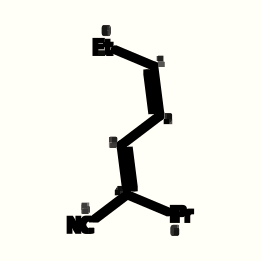 CC/C=C\C=C(\C#N)C(C)C